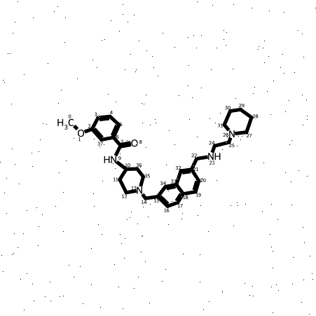 COc1cccc(C(=O)NC2CCN(Cc3ccc4ccc(CNCCN5CCCCC5)cc4c3)CC2)c1